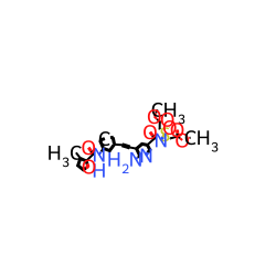 COC(=O)CS(=O)(CC(=O)OC)=NC(=O)c1cnc(N)c(C#Cc2cccc(NC(=O)c3occc3C)c2)c1